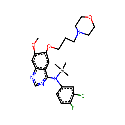 COc1cc2ncnc(N(c3ccc(F)c(Cl)c3)[Si](C)(C)C)c2cc1OCCCN1CCOCC1